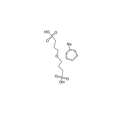 O=S(=O)(O)CCCOCCCS(=O)(=O)O.[Na][c]1ccccc1